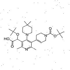 Cc1nc(C)c(C(OC(C)(C)C)C(=O)O)c(N2CCC(C)(C)CC2)c1C1=CCN(C(=O)OC(C)(C)C)CC1